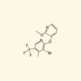 COc1ncccc1Oc1ncc(C(F)(F)F)c(C)c1Br